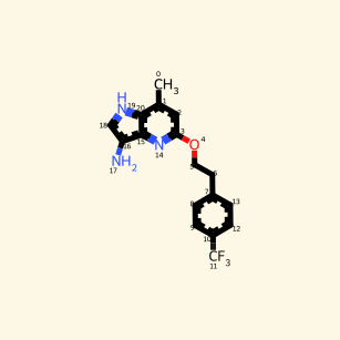 Cc1cc(OCCc2ccc(C(F)(F)F)cc2)nc2c(N)c[nH]c12